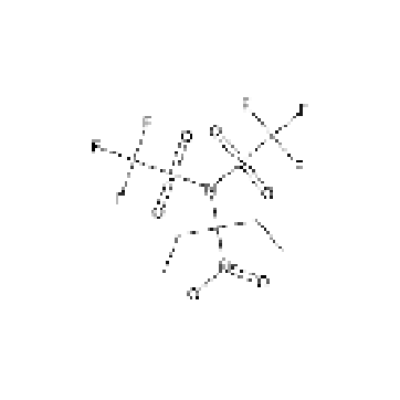 CCC(CC)(N(S(=O)(=O)C(F)(F)F)S(=O)(=O)C(F)(F)F)[N+](=O)[O-]